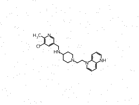 Cc1ncc(CNC2CCN(CCN3C=CC=C4NC=CC=C43)CC2)cc1Cl